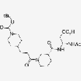 CC(=O)N[C@H](CC(=O)O)NC(=O)[C@@H]1CCCN(C(=O)CCC2CCN(C(=O)OC(C)(C)C)CC2)C1